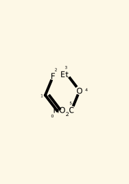 C=CF.CCOC(=O)O